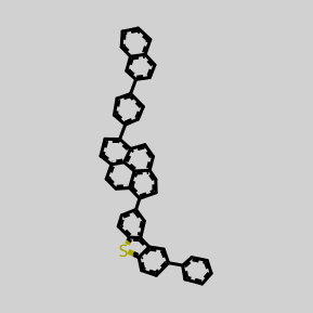 c1ccc(-c2ccc3sc4ccc(-c5ccc6ccc7c(-c8ccc(-c9ccc%10ccccc%10c9)cc8)ccc8ccc5c6c87)cc4c3c2)cc1